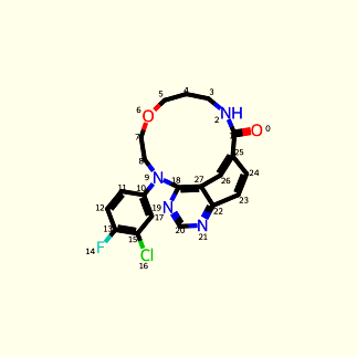 O=C1NCCCOCCN(c2ccc(F)c(Cl)c2)c2ncnc3ccc1cc23